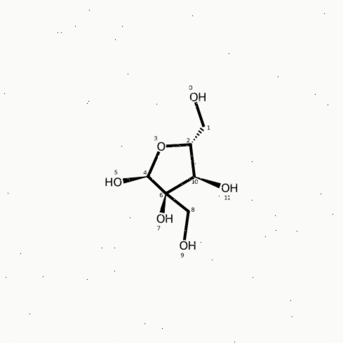 OC[C@H]1O[C@H](O)[C@@](O)(CO)[C@@H]1O